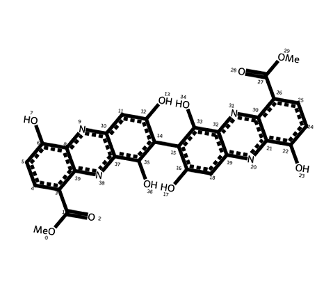 COC(=O)c1ccc(O)c2nc3cc(O)c(-c4c(O)cc5nc6c(O)ccc(C(=O)OC)c6nc5c4O)c(O)c3nc12